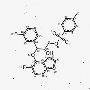 Cc1ccc(S(=O)(=O)OCC(O)C(Oc2c(F)ccc3sccc23)c2cccc(F)c2)cc1